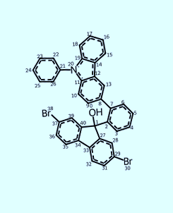 OC1(c2ccccc2-c2ccc3c(c2)c2ccccc2n3-c2ccccc2)c2cc(Br)ccc2-c2ccc(Br)cc21